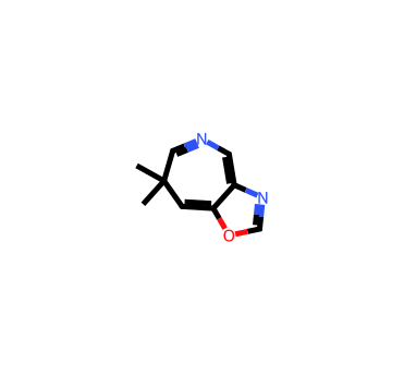 CC1(C)C=NC=c2ncoc2=C1